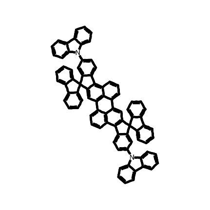 c1ccc2c(c1)-c1ccccc1C21c2cc(-n3c4ccccc4c4ccccc43)ccc2-c2c1cc1c3cccc4c5c(cc(c6cccc2c61)c43)C1(c2ccccc2-c2ccccc21)c1cc(-n2c3ccccc3c3ccccc32)ccc1-5